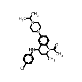 CC(=O)N1c2ccc(N3CCN(C(C)C)CC3)cc2C(Nc2ccc(Cl)cc2)CC1C